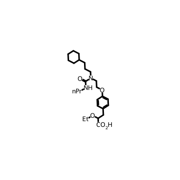 CCCNC(=O)N(CCCC1CCCCC1)CCOc1ccc(CC(OCC)C(=O)O)cc1